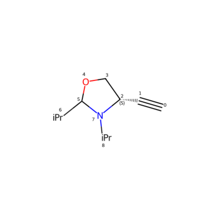 C#C[C@H]1COC(C(C)C)N1C(C)C